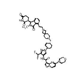 CN1C(=O)c2c(CCN3CC4(CCN(C[C@H]5CC[C@H](n6cc(NC(=O)c7cnn8ccc(N9CCOCC9)nc78)c(C(F)F)n6)CC5)CC4)C3)cccc2C1C1CCC(=O)NC1=O